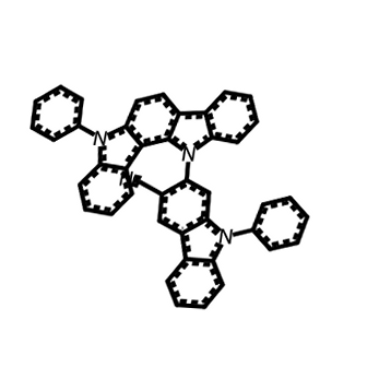 N#Cc1cc2c3ccccc3n(-c3ccccc3)c2cc1-n1c2ccccc2c2ccc3c(c4ccccc4n3-c3ccccc3)c21